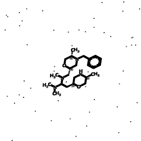 C[C@H]1CO[C@@H](CC(N(C)C)N(C)C[C@H]2CN(Cc3ccccc3)[C@@H](C)CO2)CN1